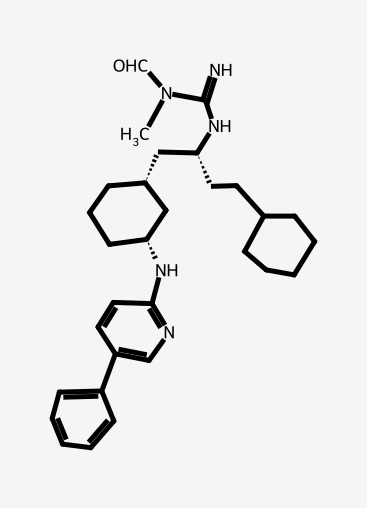 CN(C=O)C(=N)N[C@H](CCC1CCCCC1)C[C@H]1CCC[C@@H](Nc2ccc(-c3ccccc3)cn2)C1